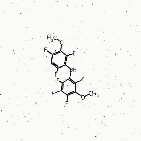 COc1c(F)cc(F)c(Bc2c(F)c(F)c(F)c(OC)c2F)c1F